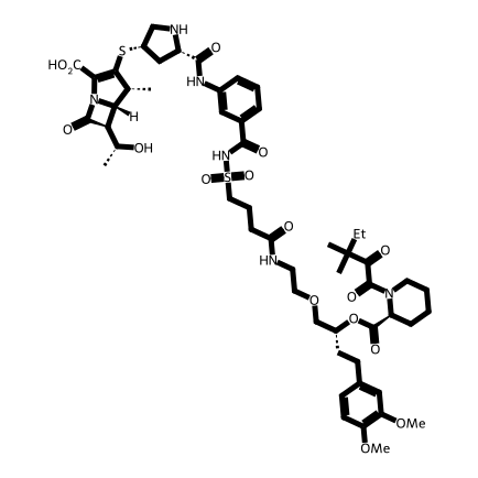 CCC(C)(C)C(=O)C(=O)N1CCCC[C@H]1C(=O)O[C@H](CCc1ccc(OC)c(OC)c1)COCCNC(=O)CCCS(=O)(=O)NC(=O)c1cccc(NC(=O)[C@@H]2C[C@H](SC3=C(C(=O)O)N4C(=O)[C@H]([C@@H](C)O)[C@H]4[C@H]3C)CN2)c1